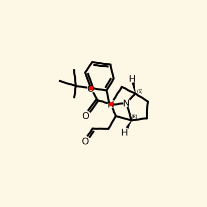 CC(C)(C)OC(=O)N1C[C@@H]2CC[C@H](C1CC=O)N2Cc1ccccc1